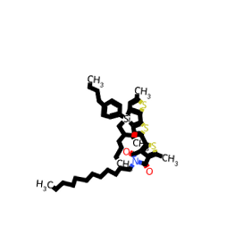 CCCCCCCCCCCCN1C(=O)c2c(C)sc(-c3cc4c(s3)-c3sc(C)cc3[Si]4(CC(CC)CCCC)c3ccc(CCCC)cc3)c2C1=O